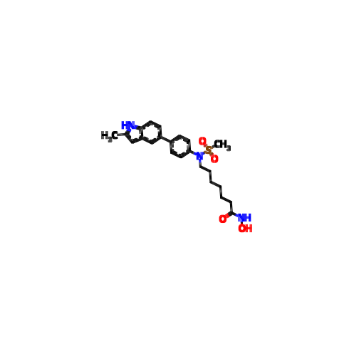 Cc1cc2cc(-c3ccc(N(CCCCCCC(=O)NO)S(C)(=O)=O)cc3)ccc2[nH]1